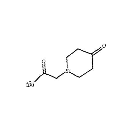 CC(C)(C)C(=O)C[S+]1CCC(=O)CC1